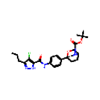 CCCc1n[nH]c(C(=O)Nc2ccc(C34CCC(CO3)N(C(=O)OC(C)(C)C)C4)cc2)c1Cl